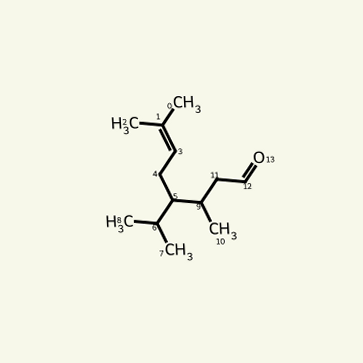 CC(C)=CCC(C(C)C)C(C)CC=O